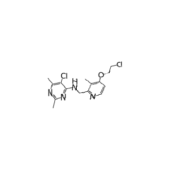 Cc1nc(C)c(Cl)c(NCc2nccc(OCCCl)c2C)n1